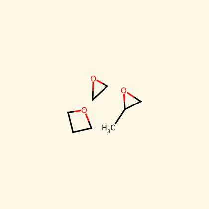 C1CO1.C1COC1.CC1CO1